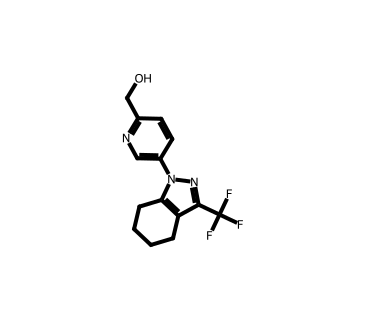 OCc1ccc(-n2nc(C(F)(F)F)c3c2CCCC3)cn1